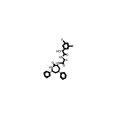 C[C@H](NC(=O)[C@H](O)c1cc(F)cc(F)c1)C(=O)N[C@H]1C[C@H](c2ccccc2)C[C@H](c2ccccc2)NC1=O